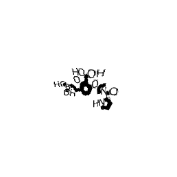 O=C(O)c1c(OC2CN(C(=O)[C@@H]3CCCN3)C2)ccc(CCB(O)O)c1O